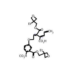 C=C/C=C(C(=O)O)\C(=C/COc1ccc(C(=O)O)c(C(=O)OCC2(CC)COC2)c1)C(=O)OCC1(CC)COC1